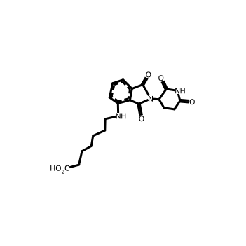 O=C(O)CCCCCCNc1cccc2c1C(=O)N(C1CCC(=O)NC1=O)C2=O